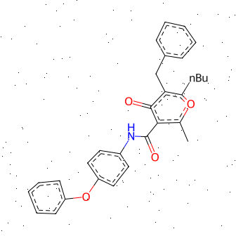 CCCCc1oc(C)c(C(=O)Nc2ccc(Oc3ccccc3)cc2)c(=O)c1Cc1ccccc1